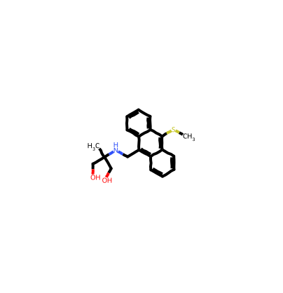 CSc1c2ccccc2c(CNC(C)(CO)CO)c2ccccc12